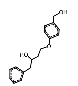 OCc1ccc(OCCC(O)Cc2ccccc2)cc1